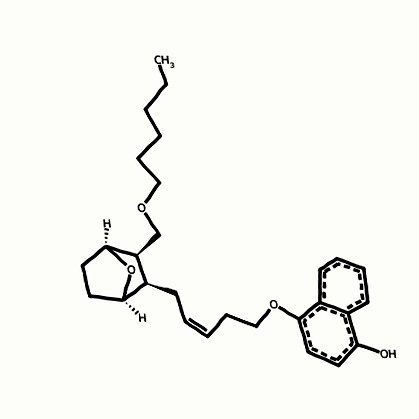 CCCCCCOC[C@H]1[C@@H](C/C=C\CCOc2ccc(O)c3ccccc23)[C@H]2CC[C@@H]1O2